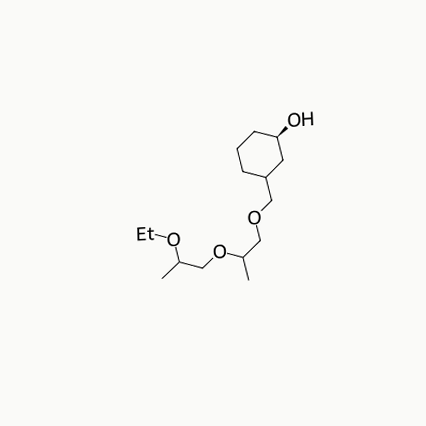 CCOC(C)COC(C)COCC1CCC[C@@H](O)C1